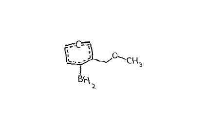 Bc1ccccc1COC